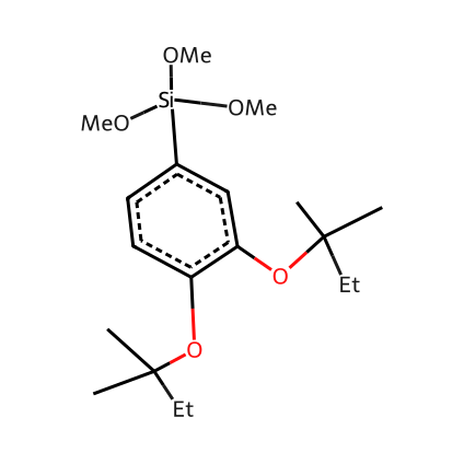 CCC(C)(C)Oc1ccc([Si](OC)(OC)OC)cc1OC(C)(C)CC